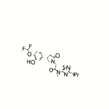 CC(C)c1nsc(N(C)C(=O)CN2C[C@H](c3ccc(OC(F)F)c(O)c3)CC2=O)n1